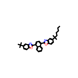 CCCCCC(C)(C)c1ccc2oc(-c3ccc(-c4nc5cc(C(C)(C)C)ccc5o4)c4ccccc34)nc2c1